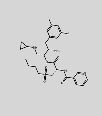 CCCCS(=O)(=O)C[C@@H](NC(=O)c1cccnc1)C(=O)O[C@H](CNC1CC1)[C@@H](N)Cc1cc(F)cc(F)c1